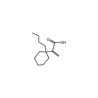 C=C(C(=O)O)C1(CCCC)CCCCC1